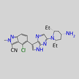 CC[C@@H]1C[C@H](N)C[C@H](CC)N1c1cnc2c(-c3ccc4nn(C)c(C#N)c4c3Cl)c[nH]c2n1